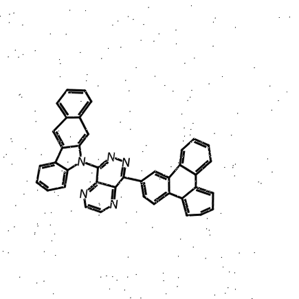 c1ccc2cc3c(cc2c1)c1ccccc1n3-c1nnc(-c2ccc3c4ccccc4c4ccccc4c3c2)c2nccnc12